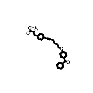 COC(Cc1ccc(C#CCCCCOc2ccc(C(=O)c3ccccc3)cc2)cc1)C(=O)O